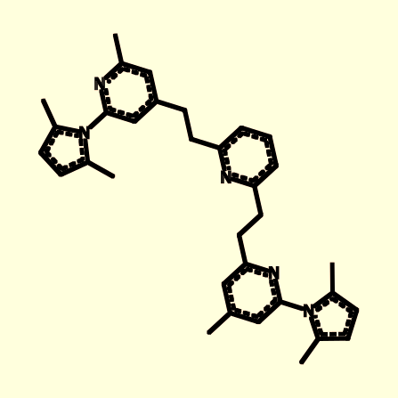 Cc1cc(CCc2cccc(CCc3cc(C)nc(-n4c(C)ccc4C)c3)n2)nc(-n2c(C)ccc2C)c1